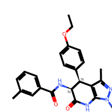 CCOc1ccc([C@H]2c3c(C)nn(C)c3NC(=O)[C@H]2NC(=O)c2cccc(C)c2)cc1